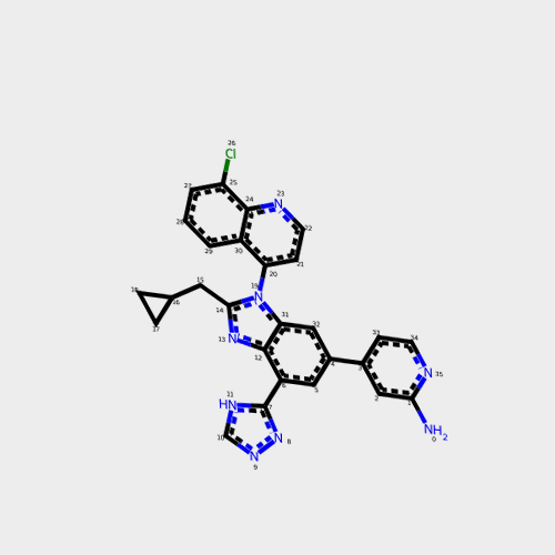 Nc1cc(-c2cc(-c3nnc[nH]3)c3nc(CC4CC4)n(-c4ccnc5c(Cl)cccc45)c3c2)ccn1